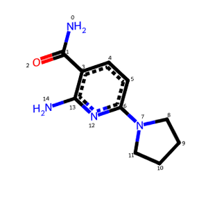 NC(=O)c1ccc(N2CCCC2)nc1N